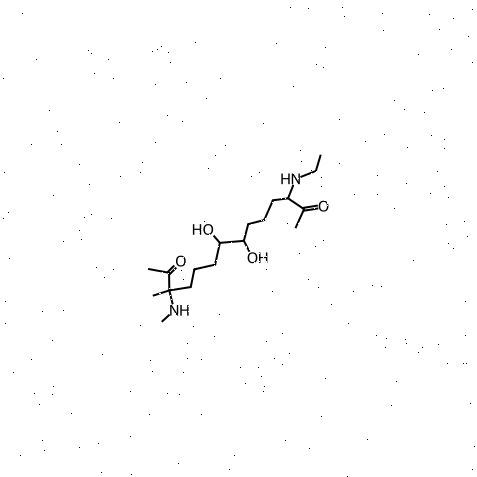 CCNC(CCCC(O)C(O)CCCC(C)(NC)C(C)=O)C(C)=O